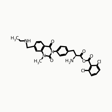 CCNCc1ccc2c(=O)n(-c3ccc(C[C@H](N)C(=O)OC(=O)c4c(Cl)cccc4Cl)cc3)c(=O)n(C)c2c1